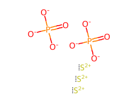 O=P([O-])([O-])[O-].O=P([O-])([O-])[O-].[S+2].[S+2].[S+2]